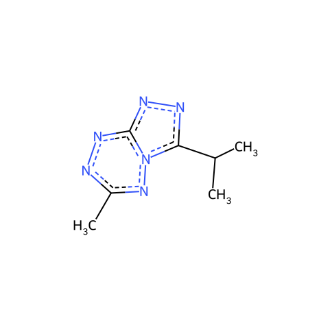 Cc1nnc2nnc(C(C)C)n2n1